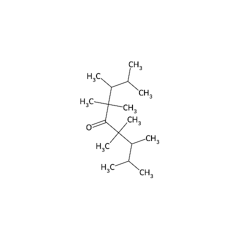 CC(C)C(C)C(C)(C)C(=O)C(C)(C)C(C)C(C)C